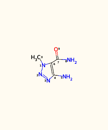 Cn1nnc(N)c1C(N)=O